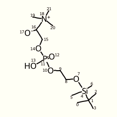 CC(C)(C)[Si](C)(C)OCCOP(=O)(O)OCC([O-])[N+](C)(C)C